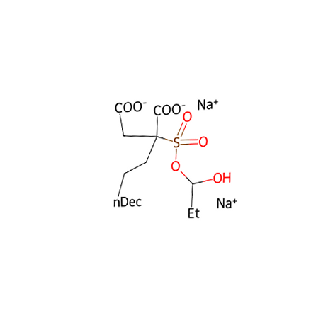 CCCCCCCCCCCCC(CC(=O)[O-])(C(=O)[O-])S(=O)(=O)OC(O)CC.[Na+].[Na+]